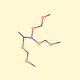 COCOC(C)N(OCOC)OCOC